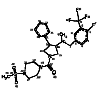 CN(Cc1ccc(F)c(C(F)(F)F)c1)C1CN(C(=O)N2CCN(S(C)(=O)=O)CC2)CC1c1ccccc1